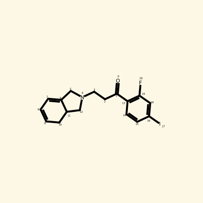 O=C(CCN1CC2=CC=CCC2C1)c1ccc(I)cc1F